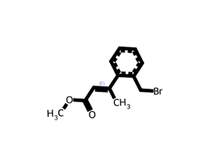 COC(=O)/C=C(\C)c1ccccc1CBr